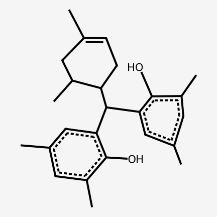 CC1=CCC(C(c2cc(C)cc(C)c2O)c2cc(C)cc(C)c2O)C(C)C1